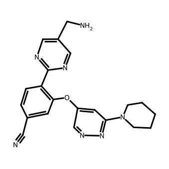 N#Cc1ccc(-c2ncc(CN)cn2)c(Oc2cnnc(N3CCCCC3)c2)c1